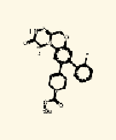 C[C@@H]1C(=O)NN=C2COc3cc(-c4ccccc4F)c(C4=CCN(C(=O)OC(C)(C)C)CC4)cc3N21